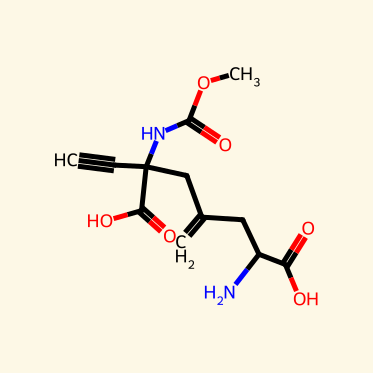 C#CC(CC(=C)CC(N)C(=O)O)(NC(=O)OC)C(=O)O